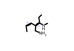 C/C=C\C(CN)=C(/CC)NC